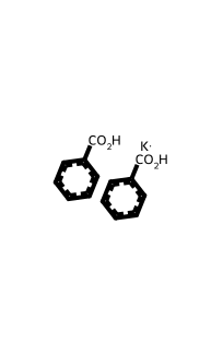 O=C(O)c1ccccc1.O=C(O)c1ccccc1.[K]